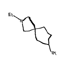 CCN1CC2(CCC(C(C)C)C2)C1